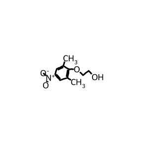 Cc1cc([N+](=O)[O-])cc(C)c1OCCO